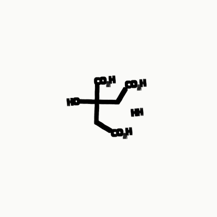 O=C(O)CC(O)(CC(=O)O)C(=O)O.[HH]